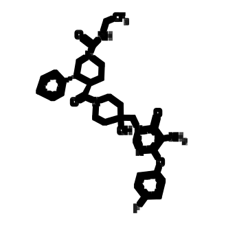 Nc1c(Oc2ccc(F)cc2)ncn(CC2(O)CCN(C(=O)[C@@H]3CCN(C(=O)NCC(F)(F)F)C[C@H]3c3ccccc3)CC2)c1=O